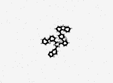 c1ccc2cc(C3=NC(c4cccc5oc6cc(-c7cccc8sc9ccccc9c78)ccc6c45)NC(c4cccc5c4oc4ccccc45)=N3)ccc2c1